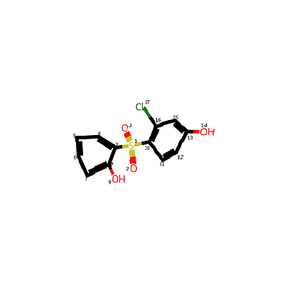 O=S(=O)(c1ccccc1O)c1ccc(O)cc1Cl